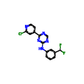 FC(F)c1cccc(Nc2ncnc(-c3ccnc(Cl)c3)n2)c1